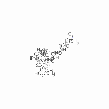 C#CCCCON(C(=O)[C@@H](NC(=O)C[C@H]1CCCCN1C)[C@@H](C)CC)[C@H](C[C@@H](OC(C)=O)c1nc(C(=O)N[C@@H](Cc2ccc(NC(=O)CNC(=O)CNC(=O)CNC(=O)CNC(=O)COC3CCCCC/C=C\C3C)cc2)CC(C)(C)C(=O)O)cs1)C(C)C